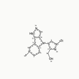 CCn1cc(-n2c3ccc(F)cc3c3[nH]ncc32)c(CO)n1